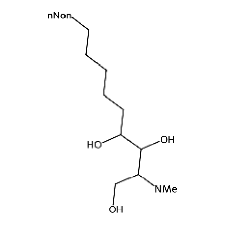 CCCCCCCCCCCCCCC(O)C(O)C(CO)NC